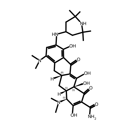 CN(C)c1cc(NC2CC(C)(C)NC(C)(C)C2)c(O)c2c1C[C@H]1C[C@H]3[C@H](N(C)C)C(O)=C(C(N)=O)C(=O)[C@@]3(O)C(O)=C1C2=O